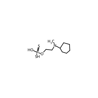 CN(CCOP(O)(=S)S)C1CCCCC1